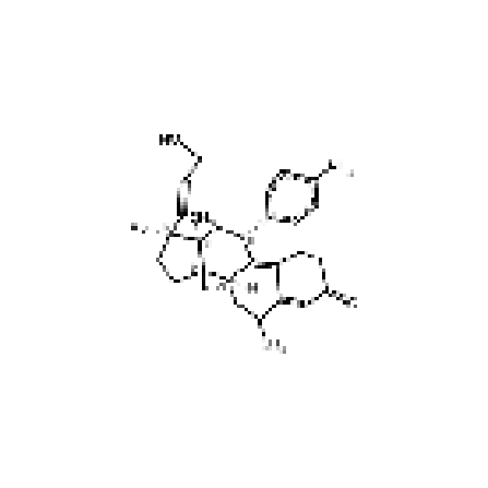 CC(=O)[C@@]1(C#CCO)CC[C@H]2[C@@H]3CC(C)C4=CC(=O)CCC4=C3[C@@H](c3ccc(N)cc3)C[C@@]21C